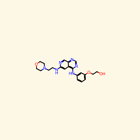 OCCOc1cccc(Nc2ncnc3cnc(NCCN4CCOCC4)cc23)c1